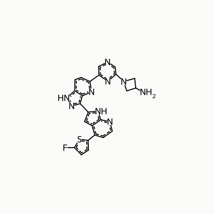 NC1CN(c2cncc(-c3ccc4[nH]nc(-c5cc6c(-c7ccc(F)s7)ccnc6[nH]5)c4n3)n2)C1